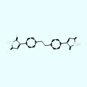 O=C1C=C(c2ccc(CCc3ccc(C4=CC(=O)NC4=O)cc3)cc2)C(=O)N1